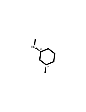 CN[C@H]1CCC[C@@H](C)C1